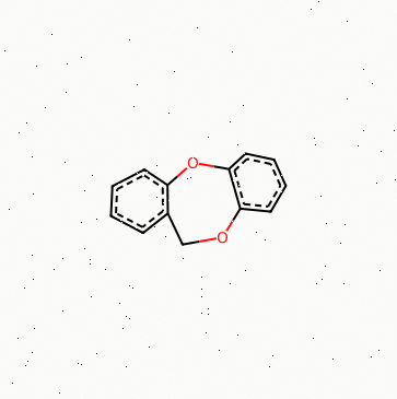 c1ccc2c(c1)COc1ccccc1O2